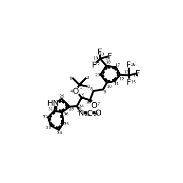 CC(C)(C)OC(C(=O)CCc1cc(C(F)(F)F)cc(C(F)(F)F)c1)C(N=C=O)c1c[nH]c2ccccc12